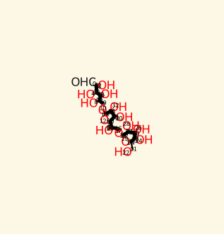 O=C[C@H](O)[C@@H](O)[C@@H](O)[C@H](O)CO[C@@H]1O[C@@H]([C@H](O)CO[C@H]2O[C@H](CO)[C@H](O)[C@H](O)[C@H]2O)[C@H](O)[C@H]1O